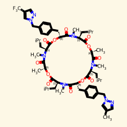 Cc1cnn(Cc2ccc(C[C@H]3OC(=O)[C@H](CC(C)C)N(C)C(=O)[C@@H](C)OC(=O)[C@H](CC(C)C)N(C)C(=O)[C@@H](Cc4ccc(Cn5cc(C(F)(F)F)cn5)cc4)OC(=O)[C@H](CC(C)C)N(C)C(=O)[C@@H](C)OC(=O)[C@H](CC(C)C)N(C)C3=O)cc2)c1